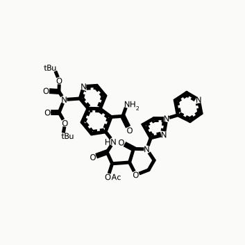 CC(=O)OC(C(=O)Nc1ccc2c(N(C(=O)OC(C)(C)C)C(=O)OC(C)(C)C)nccc2c1C(N)=O)C1OCCN(c2ccn(-c3ccncc3)n2)C1=O